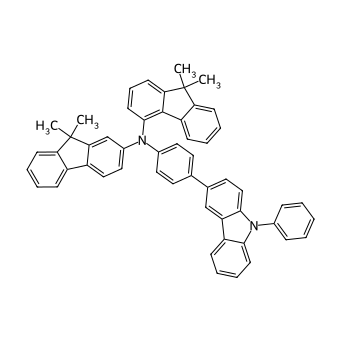 CC1(C)c2ccccc2-c2ccc(N(c3ccc(-c4ccc5c(c4)c4ccccc4n5-c4ccccc4)cc3)c3cccc4c3-c3ccccc3C4(C)C)cc21